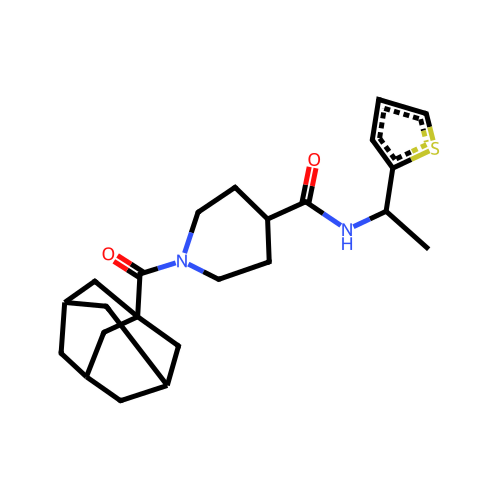 CC(NC(=O)C1CCN(C(=O)C23CC4CC(CC(C4)C2)C3)CC1)c1cccs1